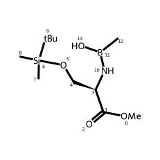 COC(=O)[C@@H](CO[Si](C)(C)C(C)(C)C)NB(C)O